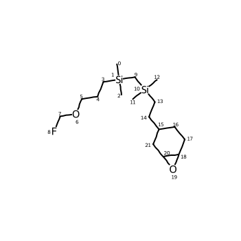 C[Si](C)(CCCOCF)C[Si](C)(C)CCC1CCC2OC2C1